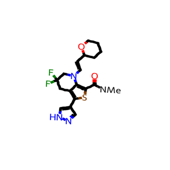 CNC(=O)c1sc(-c2cn[nH]c2)c2c1N(/C=C/C1CCCCO1)CC(F)(F)C2